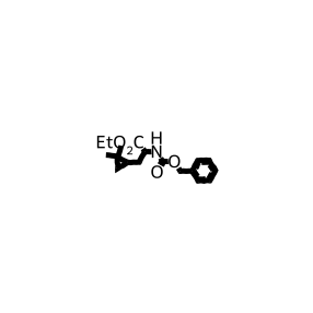 CCOC(=O)C(CC1CC1(C)C)NC(=O)OCc1ccccc1